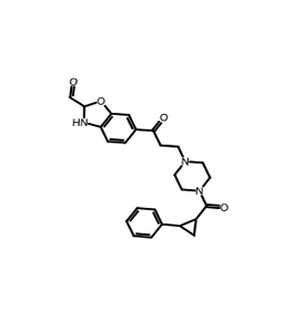 O=CC1Nc2ccc(C(=O)CCN3CCN(C(=O)C4CC4c4ccccc4)CC3)cc2O1